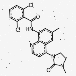 Cc1cc(NC(=O)c2c(Cl)cccc2Cl)c2nccc(N3CCN(C)C3=O)c2c1